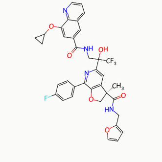 C[C@]1(C(=O)NCc2ccco2)COc2c1cc(C(O)(CNC(=O)c1cc(OC3CC3)c3ncccc3c1)C(F)(F)F)nc2-c1ccc(F)cc1